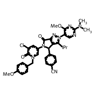 COc1ccc(Cn2cc(N3C(=O)c4nn(-c5cnc(N(C)C)nc5OC)c(C(C)C)c4C3c3ccc(C#N)cc3)cc(Cl)c2=O)cc1